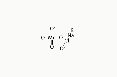 [K+].[Na+].[O-]Cl.[O]=[Mn](=[O])(=[O])[O-]